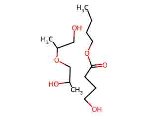 CC(O)COC(C)CO.CCCCOC(=O)CCCO